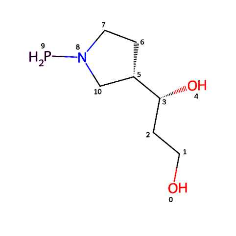 OCC[C@@H](O)[C@H]1CCN(P)C1